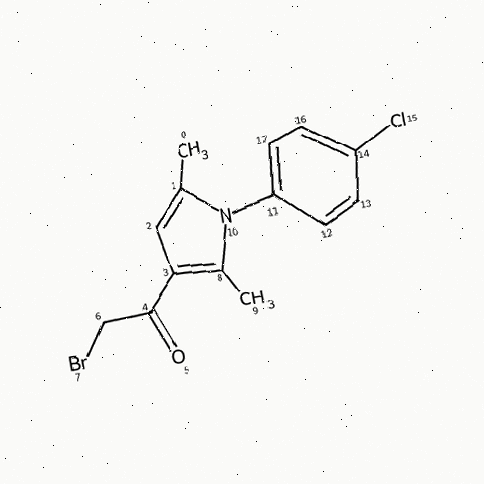 Cc1cc(C(=O)CBr)c(C)n1-c1ccc(Cl)cc1